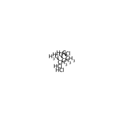 CC.CC.CC.Cl.Cl.Cl